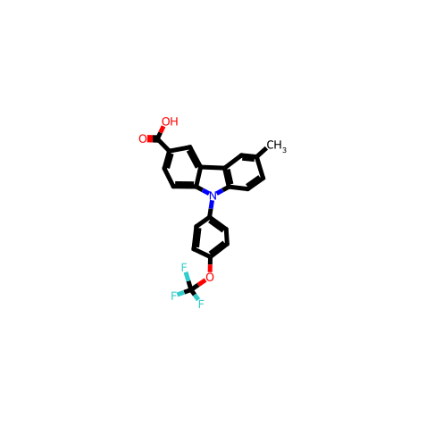 Cc1ccc2c(c1)c1cc(C(=O)O)ccc1n2-c1ccc(OC(F)(F)F)cc1